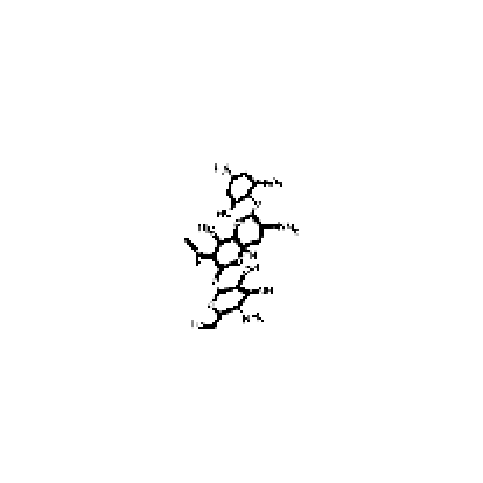 CNC1C(O[C@H]2OC(CO)[C@@H](N)C(O)C2O)O[C@H]2CC(N)[C@@H](O[C@@H]3C(N)C[C@@H](N)CC3O)OC2C1O